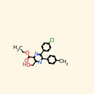 CCOC(=O)c1nc(-c2ccc(Cl)cc2)c(-c2ccc(C)cc2)nc1CO